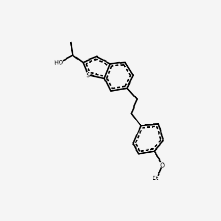 CCOc1ccc(CCc2ccc3cc(C(C)O)sc3c2)cc1